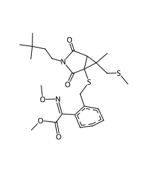 CON=C(C(=O)OC)c1ccccc1CSC12C(=O)N(CCC(C)(C)C)C(=O)C1C2(C)CSC